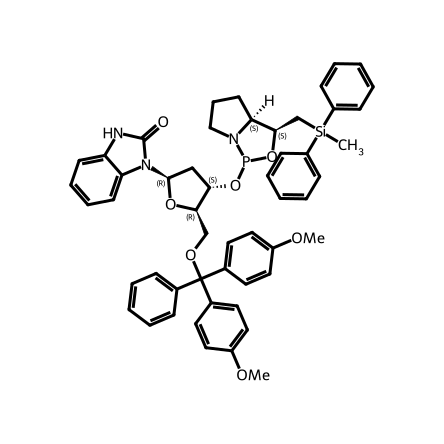 COc1ccc(C(OC[C@H]2O[C@@H](n3c(=O)[nH]c4ccccc43)C[C@@H]2OP2O[C@H](C[Si](C)(c3ccccc3)c3ccccc3)[C@@H]3CCCN32)(c2ccccc2)c2ccc(OC)cc2)cc1